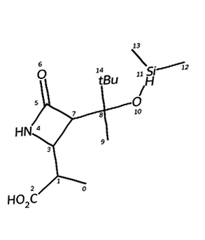 CC(C(=O)O)C1NC(=O)C1C(C)(O[SiH](C)C)C(C)(C)C